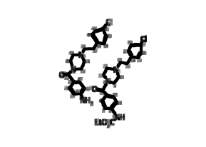 CCOC(=O)Nc1ccc(C(=O)N2CCN(CCc3ccc(Cl)cc3)CC2)cc1.Nc1ccc(C(=O)N2CCN(CCc3ccc(Cl)cc3)CC2)cc1